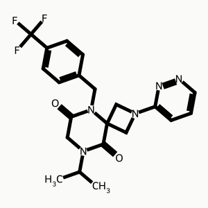 CC(C)N1CC(=O)N(Cc2ccc(C(F)(F)F)cc2)C2(CN(c3cccnn3)C2)C1=O